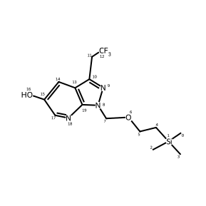 C[Si](C)(C)CCOCn1nc(CC(F)(F)F)c2cc(O)cnc21